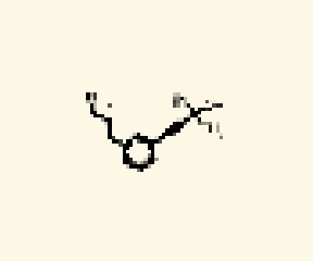 CC(C)C(C)(O)C#Cc1cccc(CCCN)c1